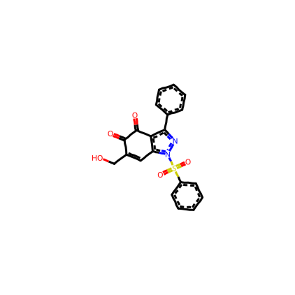 O=C1C(=O)c2c(-c3ccccc3)nn(S(=O)(=O)c3ccccc3)c2C=C1CO